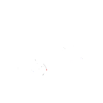 O=C(O)N1CC[C@]23CCCC[C@H]2[C@H]1Cc1c(Cc2ccccc2)cc(Oc2ncccc2[N+](=O)[O-])cc13